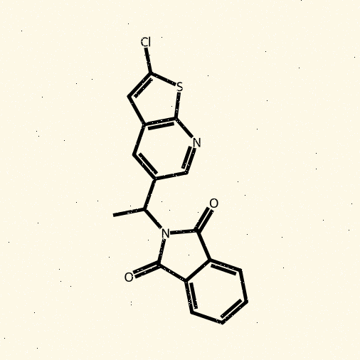 CC(c1cnc2sc(Cl)cc2c1)N1C(=O)c2ccccc2C1=O